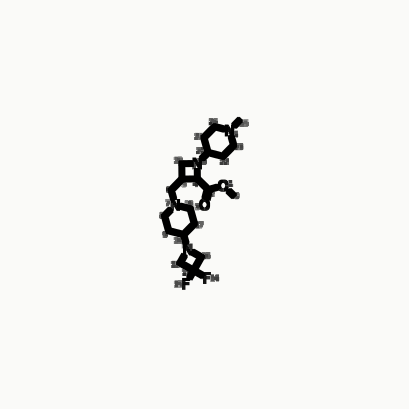 COC(=O)C1C(CN2CCC(N3CC(F)(F)C3)CC2)CN1C1CCN(C)CC1